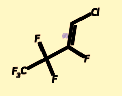 F/C(=C\Cl)C(F)(F)C(F)(F)F